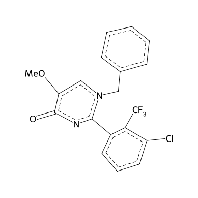 COc1cn(Cc2ccccc2)c(-c2cccc(Cl)c2C(F)(F)F)nc1=O